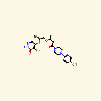 CCC(COC(C)CC(=O)N1CCN(c2ccc(C#N)cn2)CC1)Oc1cn[nH]c(=O)c1C(F)(F)F